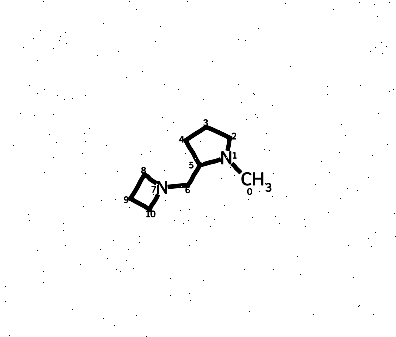 CN1CCCC1CN1CCC1